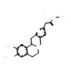 COc1cc2c(cc1O)[C@@H]1Cc3sc(CC(=O)N(C)C)cc3CN1CC2